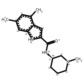 Cc1cc(C)c2cc(C(=O)N[C@@H]3CCCN(C)C3)[nH]c2c1